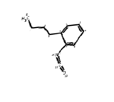 CCCCc1ccccc1[N+]=C=O